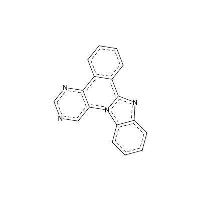 c1ccc2c(c1)nc1c3ccccc3c3ncncc3n21